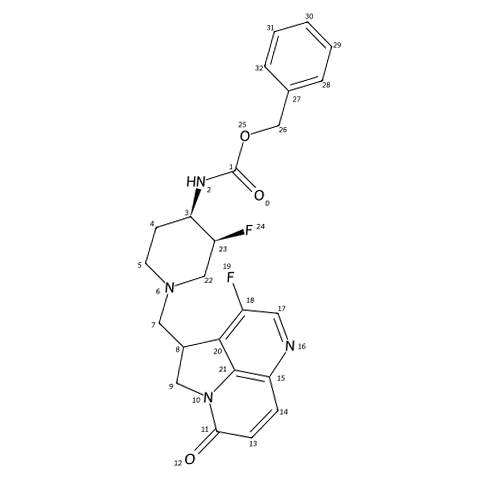 O=C(N[C@@H]1CCN(CC2Cn3c(=O)ccc4ncc(F)c2c43)C[C@@H]1F)OCc1ccccc1